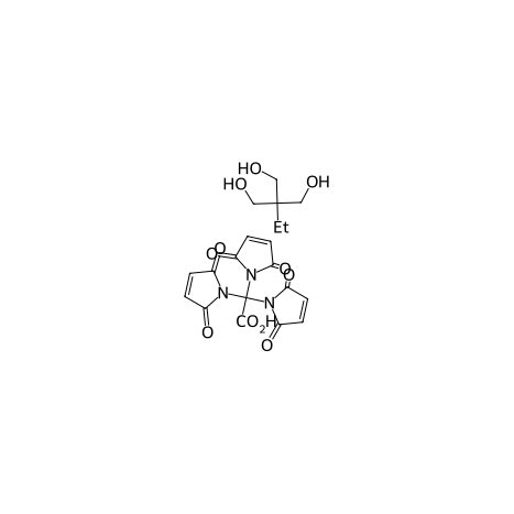 CCC(CO)(CO)CO.O=C1C=CC(=O)N1C(C(=O)O)(N1C(=O)C=CC1=O)N1C(=O)C=CC1=O